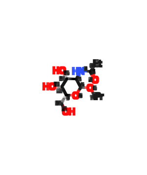 CCC(=O)N[C@H]1C(OC(C)C)O[C@H](CO)[C@H](O)[C@@H]1O